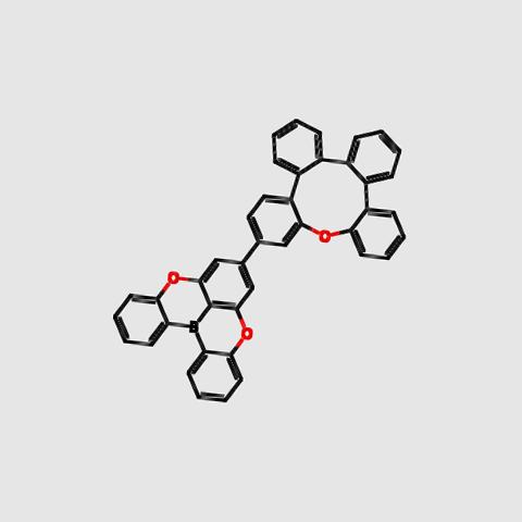 c1ccc2c(c1)Oc1cc(-c3ccc4c(c3)oc3ccccc3c3ccccc3c3ccccc43)cc3c1B2c1ccccc1O3